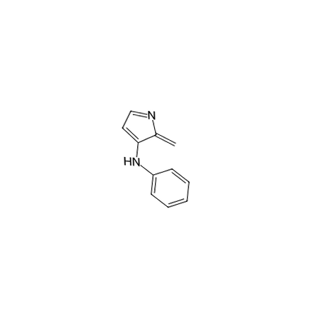 C=C1N=CC=C1Nc1ccccc1